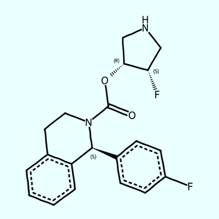 O=C(O[C@@H]1CNC[C@@H]1F)N1CCc2ccccc2[C@@H]1c1ccc(F)cc1